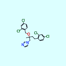 CC(CCc1ccc(Cl)cc1Cl)(Cn1ccnc1)OCc1ccc(Cl)cc1Cl